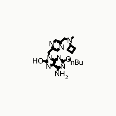 CCCCOc1nc(N)c2nc(O)n(Cc3cnc(CN(C)C4CCC4)cn3)c2n1